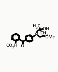 COCCN(CC(C)(C)O)c1ccc(C(=O)c2ccccc2C(=O)O)cc1